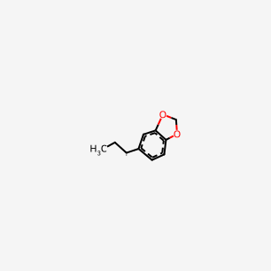 CC[CH]c1ccc2c(c1)OCO2